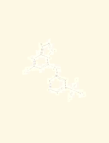 NS(=O)(=O)c1cccc(Nc2cc(Cl)nc3ncnn23)c1